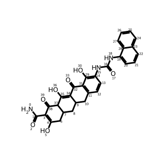 NC(=O)C1=C(O)CC2CC3Cc4ccc(NC(=O)Nc5cccc6ccccc56)c(O)c4C(=O)C3=C(O)C2C1=O